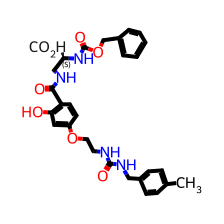 Cc1ccc(CNC(=O)NCCOc2ccc(C(=O)NC[C@H](NC(=O)OCc3ccccc3)C(=O)O)c(O)c2)cc1